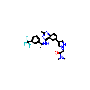 Cc1nc(N[C@H](C)c2cccc(C(F)(F)F)c2)c2cc(-c3cnn(CC(=O)N(C)C)c3)ccc2n1